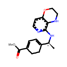 COC(=O)C1=CC=C([C@H](C)Nc2nccc3c2NCCO3)CC1